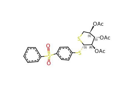 CC(=O)O[C@@H]1[C@@H](OC(C)=O)[C@H](Sc2ccc(S(=O)(=O)c3ccccc3)cc2)SC[C@H]1OC(C)=O